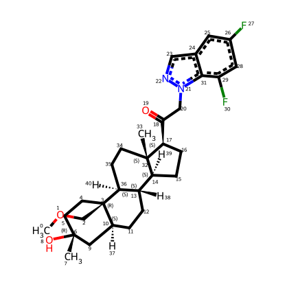 COC[C@]12CC[C@@](C)(O)C[C@@H]1CC[C@H]1[C@@H]3CC[C@H](C(=O)Cn4ncc5cc(F)cc(F)c54)[C@@]3(C)CC[C@@H]12